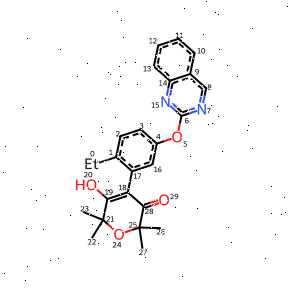 CCc1ccc(Oc2ncc3ccccc3n2)cc1C1=C(O)C(C)(C)OC(C)(C)C1=O